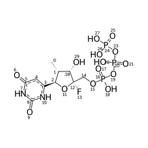 C[C@H]1[C@H](c2cc(=O)[nH]c(=O)[nH]2)O[C@](F)(COP(=O)(O)OP(=O)(O)OP(=O)(O)O)[C@H]1O